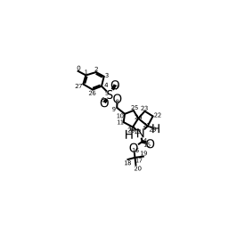 Cc1ccc(S(=O)(=O)OCC2C[C@@H]3N(C(=O)OC(C)(C)C)[C@H]4CCC43C2)cc1